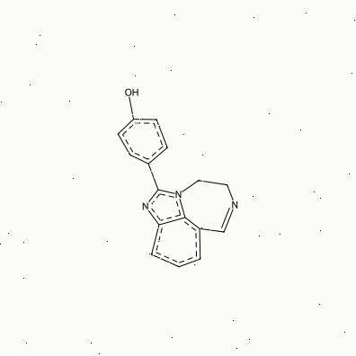 Oc1ccc(-c2nc3cccc4c3n2CCN=C4)cc1